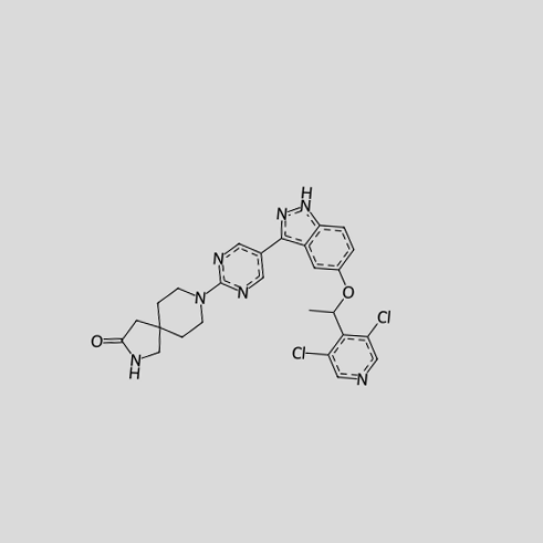 CC(Oc1ccc2[nH]nc(-c3cnc(N4CCC5(CC4)CNC(=O)C5)nc3)c2c1)c1c(Cl)cncc1Cl